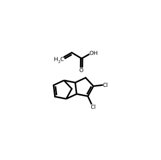 C=CC(=O)O.ClC1=C(Cl)C2C3C=CC(C3)C2C1